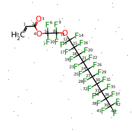 C=CC(=O)OC(F)(F)C(F)(F)OC(F)(F)C(F)(F)C(F)(F)C(F)(F)C(F)(F)C(F)(F)C(F)(F)C(F)(F)C(F)(F)C(F)(F)F